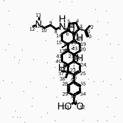 C=C(C)[C@@H]1CC[C@]2(NCCCN(C)C)CC[C@]3(C)[C@H](CC[C@@H]4[C@@]5(C)CC=C(c6ccc(C(=O)O)cc6)C(C)(C)[C@@H]5CC[C@]43C)[C@@H]12